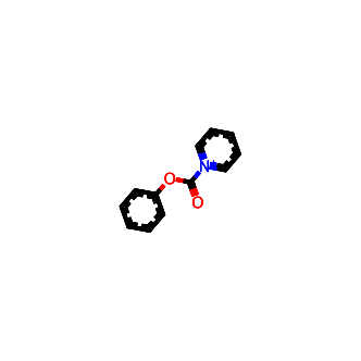 O=C(Oc1ccccc1)[n+]1ccccc1